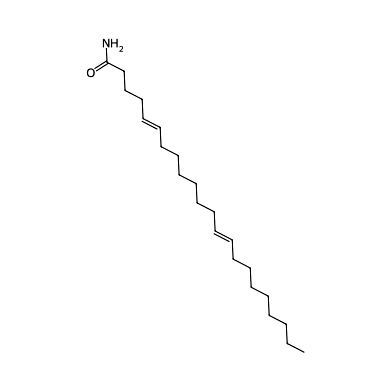 CCCCCCCCC=CCCCCCCC=CCCCC(N)=O